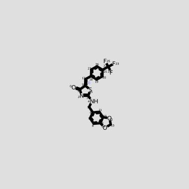 O=C1N=C(NCc2ccc3c(c2)OCO3)S/C1=C\c1ccc(C(F)(F)F)cc1